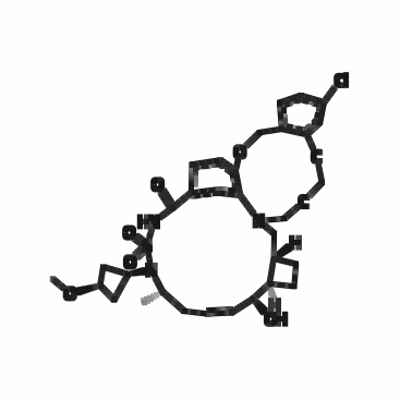 CO[C@H]1C[C@@H](N2[C@@H](C)C/C=C\[C@H](O)[C@@H]3CC[C@H]3CN3CCCCc4cc(Cl)ccc4COc4ccc(cc43)C(=O)NS2(=O)=O)C1